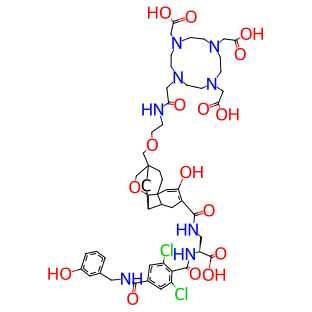 O=C(O)CN1CCN(CC(=O)O)CCN(CC(=O)NCCOCC23CCC45C=C(O)C=C(C(=O)NC[C@H](NC(=O)c6c(Cl)cc(C(=O)NCc7cccc(O)c7)cc6Cl)C(=O)O)CC4C(C2)C5OC3)CCN(CC(=O)O)CC1